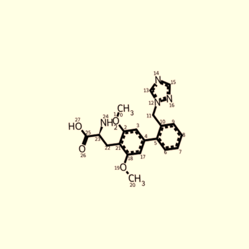 COc1cc(-c2ccccc2Cn2cncn2)cc(OC)c1C[C@H](N)C(=O)O